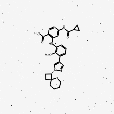 COc1c(Nc2cc(NC(=O)C3CC3)ncc2C(N)=O)cccc1-c1cnn([C@H]2CC[C@@]23CCCCO3)c1